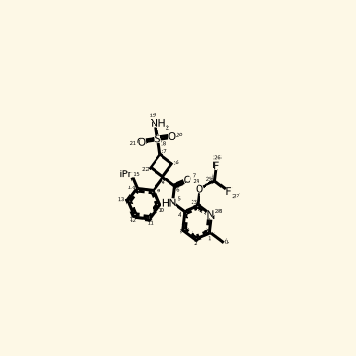 Cc1ccc(NC(=O)C2(c3ccccc3C(C)C)CC(S(N)(=O)=O)C2)c(OC(F)F)n1